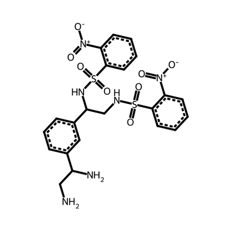 NCC(N)c1cccc(C(CNS(=O)(=O)c2ccccc2[N+](=O)[O-])NS(=O)(=O)c2ccccc2[N+](=O)[O-])c1